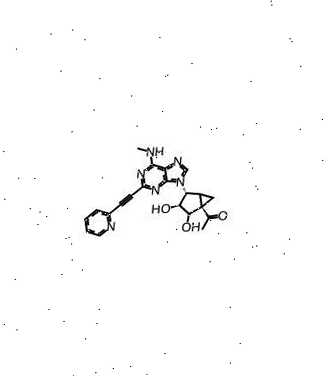 CNc1nc(C#Cc2ccccn2)nc2c1ncn2[C@@H]1C2C[C@]2(C(C)=O)C(O)[C@H]1O